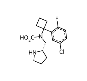 O=C(O)N(C[C@@H]1CCCN1)C1(c2cc(Cl)ccc2F)CCC1